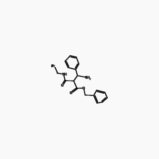 CC(C)[CH]NC(=O)C(C(=O)OCc1ccccc1)C(N)c1ccccc1